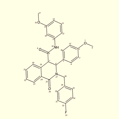 COc1ccc(C2C(C(=O)Nc3cccc(OC)c3)c3ccccc3C(=O)N2Cc2ccc(F)cc2)cc1